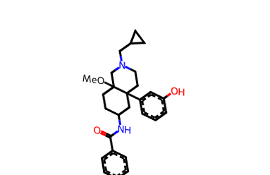 COC12CCC(NC(=O)c3ccccc3)CC1(c1cccc(O)c1)CCN(CC1CC1)C2